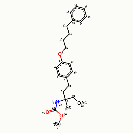 CCC(CCc1ccc(OCCCCc2ccccc2)cc1)(COC(C)=O)NC(=O)OC(C)(C)C